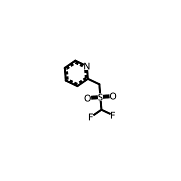 O=S(=O)(Cc1ccccn1)C(F)F